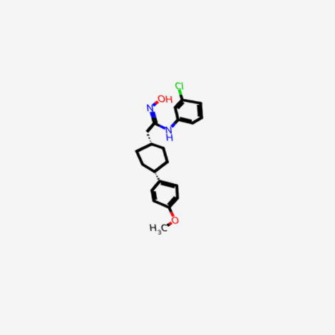 COc1ccc([C@H]2CC[C@@H](C/C(=N/O)Nc3cccc(Cl)c3)CC2)cc1